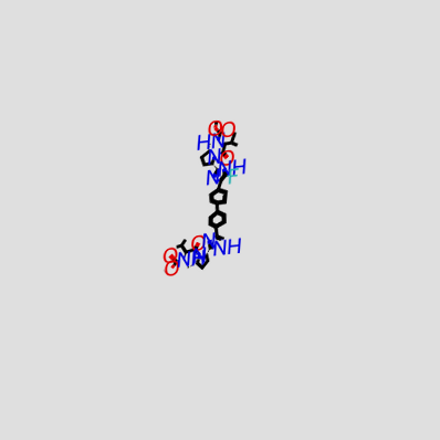 COC(=O)N[C@H](C(=O)N1[C@@H](C)CC[C@H]1c1nc(-c2ccc(-c3ccc(-c4nc([C@@H]5CC[C@H](C)N5C(=O)[C@@H](NC(=O)OC)C(C)C)[nH]c4F)cc3)cc2)c[nH]1)C(C)C